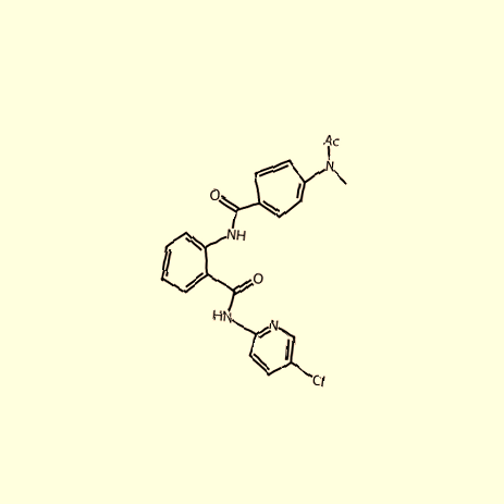 CC(=O)N(C)c1ccc(C(=O)Nc2ccccc2C(=O)Nc2ccc(Cl)cn2)cc1